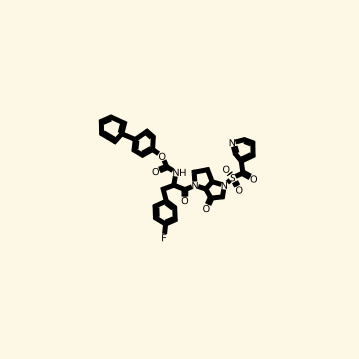 O=C(NC(Cc1ccc(F)cc1)C(=O)N1CCC2C1C(=O)CN2S(=O)(=O)C(=O)c1cccnc1)Oc1ccc(-c2ccccc2)cc1